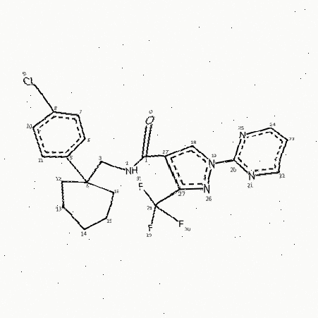 O=C(NCC1(c2ccc(Cl)cc2)CCCCC1)c1cn(-c2ncccn2)nc1C(F)(F)F